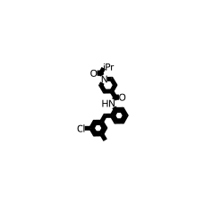 Cc1cc(Cl)cc(Cc2ccccc2NC(=O)C2CCN(C(=O)C(C)C)CC2)c1